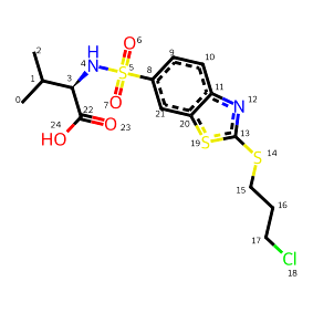 CC(C)[C@@H](NS(=O)(=O)c1ccc2nc(SCCCCl)sc2c1)C(=O)O